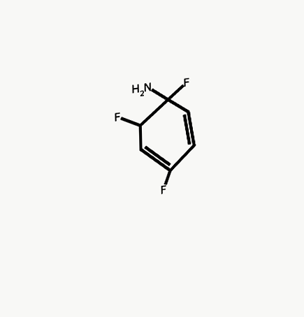 NC1(F)C=CC(F)=CC1F